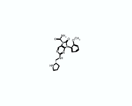 COc1ccccc1-n1c(=O)n(C(N)=O)c2cnc(NC[C@@H]3CCCN3)nc21